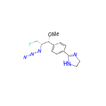 CO[C@H](c1ccc(C2=NCCN2)cc1)[C@@H](CF)N=[N+]=[N-]